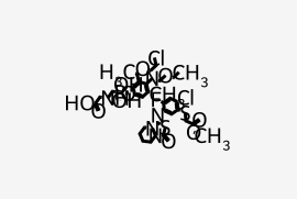 CCOCN(C(=O)CCl)c1c(C)cccc1CC.COC(=O)CSc1cc(/N=c2\sc(=O)n3n2CCCC3)c(F)cc1Cl.O=C(O)CNCP(=O)(O)O